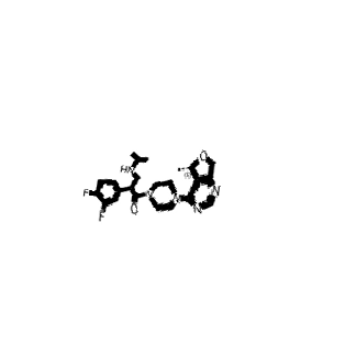 CC(C)NCC(C(=O)N1CCN(c2ncnc3c2[C@H](C)OC3)CC1)c1ccc(F)c(F)c1